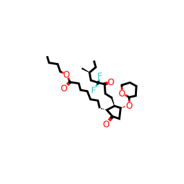 CCCCOC(=O)CCCCCC[C@H]1C(=O)C[C@@H](OC2CCCCO2)[C@@H]1CCC(=O)C(F)(F)C[C@@H](C)CC